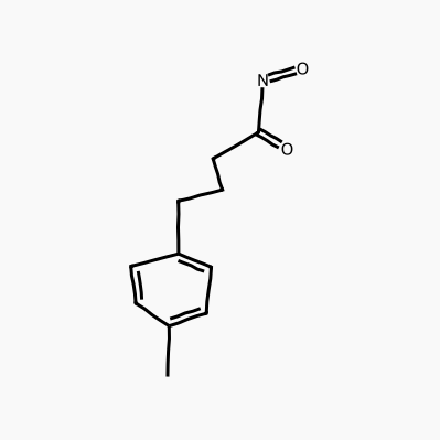 Cc1ccc(CCCC(=O)N=O)cc1